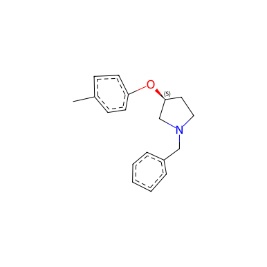 Cc1ccc(O[C@H]2CCN(Cc3ccccc3)C2)cc1